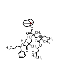 CCCC(OC(=O)C(C)(C)CBC(C)(CBC(C)(CC)C(=O)OCCN(C)C)C(=O)OC12CC3CC(CC(C3)C1)C2)c1ccccc1